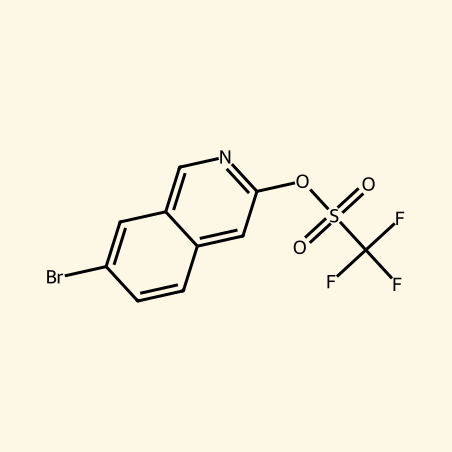 O=S(=O)(Oc1cc2ccc(Br)cc2cn1)C(F)(F)F